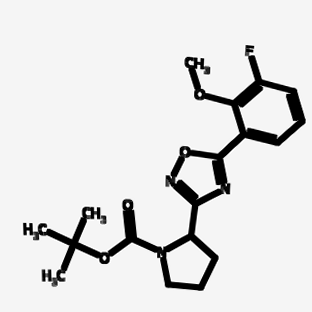 COc1c(F)cccc1-c1nc(C2CCCN2C(=O)OC(C)(C)C)no1